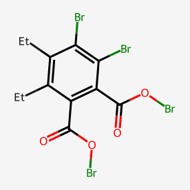 CCc1c(Br)c(Br)c(C(=O)OBr)c(C(=O)OBr)c1CC